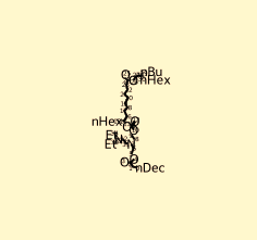 CCCCCCCCCCCC(=O)OCCN(CCOC(=O)OC(CCCCCC)CCCCCCCCC(=O)OCC(CCCC)CCCCCC)CCN(CC)CC